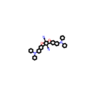 N#Cc1c2oc3cc4cc(N(c5ccccc5)c5ccccc5)ccc4cc3c2c(C#N)c2c1oc1cc3cc(N(c4ccccc4)c4ccccc4)ccc3cc12